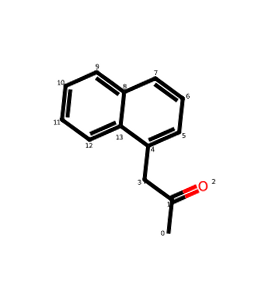 CC(=O)[CH]c1cccc2ccccc12